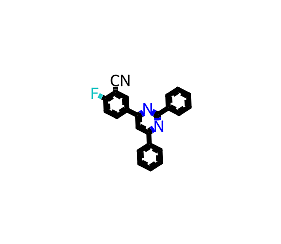 N#Cc1cc(-c2cc(-c3ccccc3)nc(-c3ccccc3)n2)ccc1F